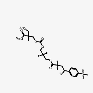 COC(=O)C(C)(COC(C)=O)COC(=O)OCC(F)(F)COC(=O)C(C)(C)CC(Br)c1ccc([Si](C)(C)C)cc1